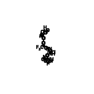 Cn1nc(C2CCC(=O)NC2=O)c2ccc(C3CCN([C@H](C4CCN(c5ncc(Cl)c(Nc6ccc7c(c6)c6c(c(=O)n7C)OCC(F)(F)[C@H](C7CC7)N6)n5)CC4)C(F)(F)F)CC3)cc21